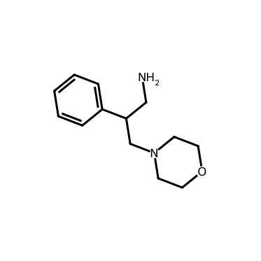 NCC(CN1CCOCC1)c1ccccc1